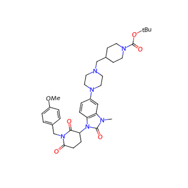 COc1ccc(CN2C(=O)CCC(n3c(=O)n(C)c4cc(N5CCN(CC6CCN(C(=O)OC(C)(C)C)CC6)CC5)ccc43)C2=O)cc1